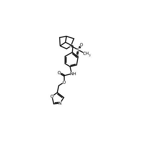 CS(=O)(=O)N1CC2CC(C1)C2Cc1ccc(NC(=O)OCc2cnco2)cc1